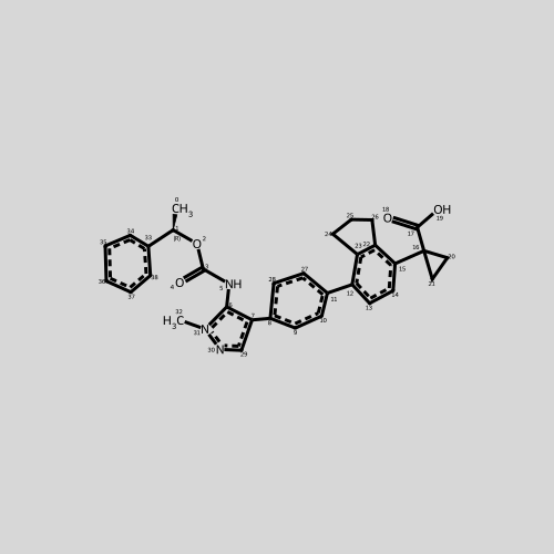 C[C@@H](OC(=O)Nc1c(-c2ccc(-c3ccc(C4(C(=O)O)CC4)c4c3CCC4)cc2)cnn1C)c1ccccc1